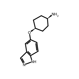 N[C@H]1CC[C@@H](Oc2ccc3[nH]ncc3c2)CC1